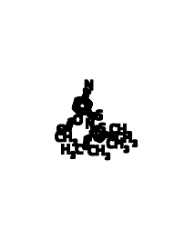 COCCOc1ccc(C#N)cc1C(=S)N=c1sc(C(C)(C)C)cn1CC(C)C